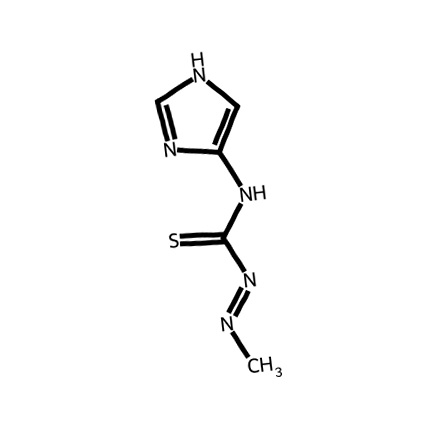 CN=NC(=S)Nc1c[nH]cn1